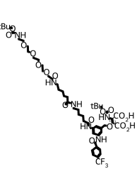 CC(C)(C)OC(=O)NCCOCCOCCOCCOCC(=O)NCCCCCC(=O)NCCCCCC(=O)Nc1cc(CO[C@H](C(=O)O)[C@H](NC(=O)OC(C)(C)C)C(=O)O)cc(NC(=O)c2ccc(C(F)(F)F)cc2)c1